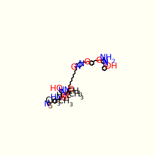 Cc1ncsc1-c1ccc(C(C)NC(=O)[C@@H]2C[C@@H](O)CN2C(=O)C(NC(=O)CCCCCCCCCCC(=O)N2CCN(CCOc3cccc(CCOc4cc(-c5ccccc5O)nnc4N)c3)CC2)C(C)(C)C)cc1